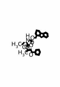 CC(=CC(=O)c1ccccc1)OC(=O)[C@H](CC(C)C)NC(=O)OCc1cccc2c1Cc1ccccc1-2